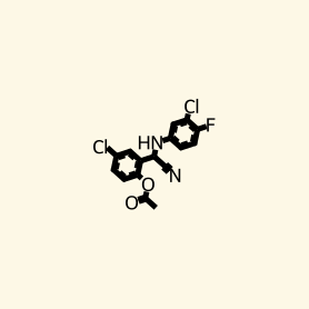 CC(=O)Oc1ccc(Cl)cc1C(C#N)Nc1ccc(F)c(Cl)c1